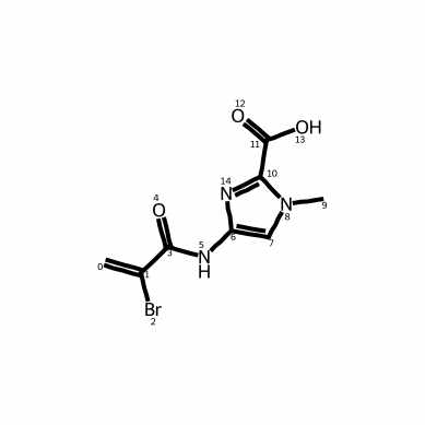 C=C(Br)C(=O)Nc1cn(C)c(C(=O)O)n1